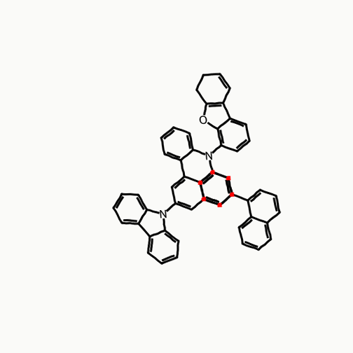 C1=Cc2c(oc3c(N(c4cccc(-c5cccc6ccccc56)c4)c4ccccc4-c4cc(-n5c6ccccc6c6ccccc65)cc5ccccc45)cccc23)CC1